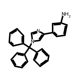 Nc1cccc(-c2cn(C(c3ccccc3)(c3ccccc3)c3ccccc3)cn2)c1